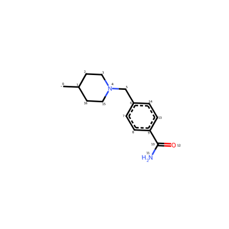 [CH2]C1CCN(Cc2ccc(C(N)=O)cc2)CC1